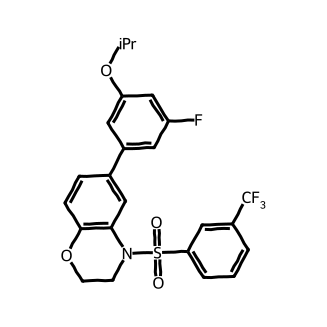 CC(C)Oc1cc(F)cc(-c2ccc3c(c2)N(S(=O)(=O)c2cccc(C(F)(F)F)c2)CCO3)c1